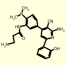 CN(C)c1ccc(-c2cc(-c3ccccc3O)nc(N)c2C#N)cc1NC(=O)CCN